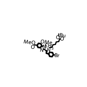 COC(=O)c1cc(OC)c2c(c1)nc(-c1cc3ccc(Br)cc3n1CCCCCCC(=O)OC(C)(C)C)n2C